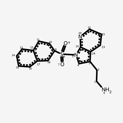 NCCc1cn(S(=O)(=O)c2ccc3ccccc3c2)c2ncccc12